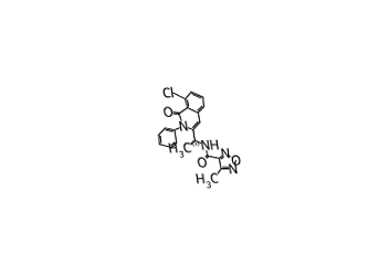 Cc1nonc1C(=O)N[C@@H](C)c1cc2cccc(Cl)c2c(=O)n1-c1ccccc1